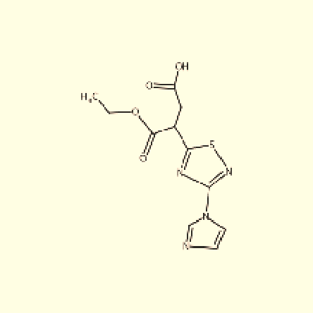 CCOC(=O)C(CC(=O)O)c1nc(-n2ccnc2)ns1